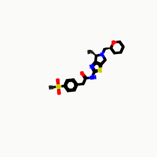 CCS(=O)(=O)c1ccc(CC(=O)Nc2nc3c(s2)CN(C[C@H]2CCCCO2)[C@H]3C(C)C)cc1